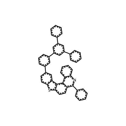 c1ccc(-c2cc(-c3ccccc3)cc(-c3cccc(-c4ccc5sc6ccc7c(-c8ccccc8)nc8ccccc8c7c6c5c4)c3)c2)cc1